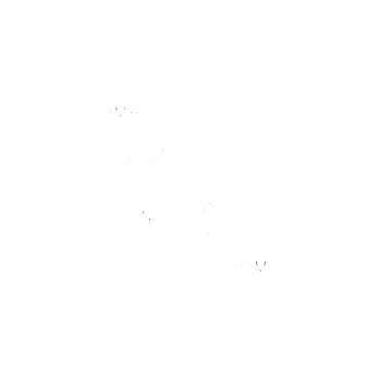 COCCOC(=O)C1=C(C)N(C)C(C)=C(C(=O)OCCOC)C1(C)c1ccccc1Cl